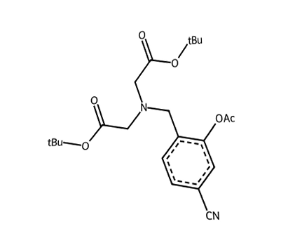 CC(=O)Oc1cc(C#N)ccc1CN(CC(=O)OC(C)(C)C)CC(=O)OC(C)(C)C